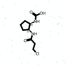 O=C(O)N[C@@H]1CCC[C@@H]1NC(=O)CCCl